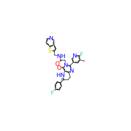 Cc1cc(-c2nc3c(c(=O)n2CC(=O)NCc2cc4cnccc4s2)N[C@H](c2ccc(F)cc2)CC3)cnc1F